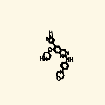 c1cc(N2CCOCC2)ccc1Nc1ncc2cc(-c3cn[nH]c3)c(OC3CCNCC3)cc2n1